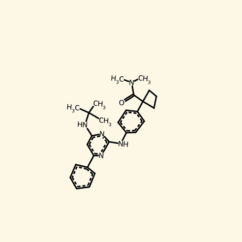 CN(C)C(=O)C1(c2ccc(Nc3nc(NC(C)(C)C)cc(-c4ccccc4)n3)cc2)CCC1